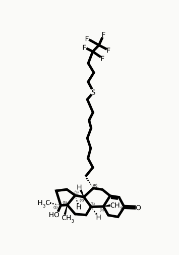 C[C@]12CCC(=O)C=C1C[C@@H](CCCCCCCCCSCCCC(F)(F)C(F)(F)F)[C@@H]1[C@@H]2CC[C@@]2(C)[C@H]1CC[C@]2(C)O